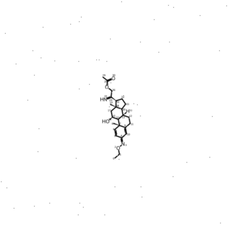 CCO/N=C1\C=C[C@@]2(C)C(=C1)CC[C@@H]1C2[C@@H](O)C[C@@]2(C)C1CC[C@@H]2C(=N)COC(C)=O